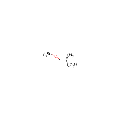 C=C(CO[SiH3])C(=O)O